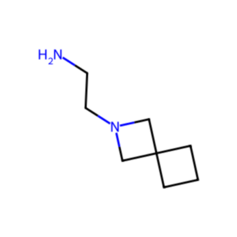 NCCN1CC2(CCC2)C1